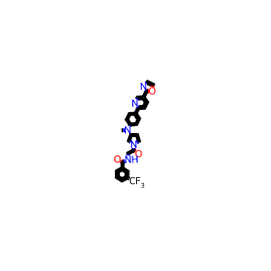 CN(C1CC=C(c2ccc(-c3ncco3)cn2)CC1)[C@H]1CCN(C(=O)CNC(=O)c2cccc(C(F)(F)F)c2)C1